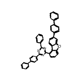 c1ccc(-c2ccc(-c3ccc4c(c3)oc3cccc(-c5nc(-c6ccccc6)nc(-c6ccc(-c7ccccc7)cc6)n5)c34)cc2)cc1